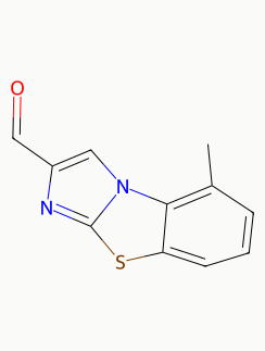 Cc1cccc2sc3nc(C=O)cn3c12